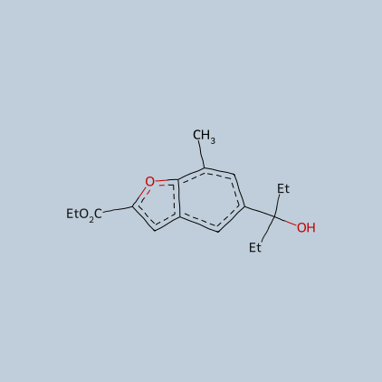 CCOC(=O)c1cc2cc(C(O)(CC)CC)cc(C)c2o1